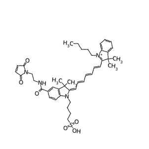 CCCCC[N+]1=C(/C=C/C=C/C=C/C=C2/N(CCCCS(=O)(=O)O)c3ccc(C(=O)NCCN4C(=O)C=CC4=O)cc3C2(C)C)C(C)(C)c2ccccc21